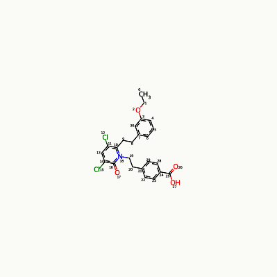 CCOc1cccc(CCc2c(Cl)cc(Cl)c(=O)n2CCc2ccc(C(=O)O)cc2)c1